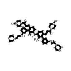 CC(=O)N1CCN(C(=O)/C=C/c2ccc(Sc3ccc(/C=C/C(=O)N4CCN(C(C)=O)CC4)c(-c4cccc(NCCN5CCOCC5)c4)c3C(F)(F)F)c(C(F)(F)F)c2-c2cccc(NCCN3CCOCC3)c2)CC1